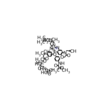 C#CCN1C(=O)COc2cc(F)c(/N=c3\snc4n3CC(C)(C)C4)cc21.CON(C)C(=O)Nc1ccc(Oc2ccc3c(c2)OC(C)(OC)CC3(C)C)cc1.C[S+](C)C.O=C(O)CNCP(=O)([O-])O